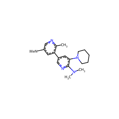 CNc1cnc(C)c(-c2cnc(N(C)C)c(N3CCCCC3)c2)c1